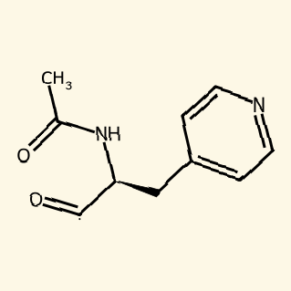 CC(=O)N[C@H]([C]=O)Cc1ccncc1